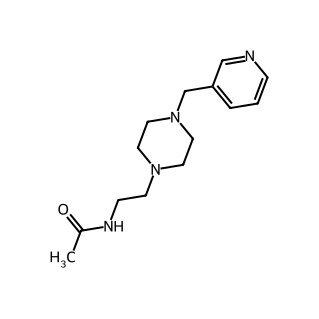 CC(=O)NCCN1CCN(Cc2cccnc2)CC1